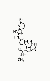 CCNC(=O)c1cn2ncnc(N)c2c1-c1ccc(Nc2nc3ccc(Br)cc3[nH]2)cc1